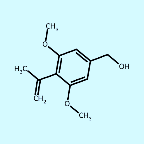 C=C(C)c1c(OC)cc(CO)cc1OC